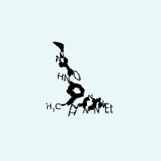 CCn1cc2ncc(N[C@@H](C)c3cccc(NC(=O)c4cnn(C5CC5)c4)c3)nc2n1